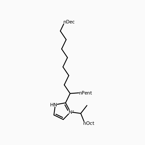 CCCCCCCCCCCCCCCCCC(CCCCC)c1[nH]cc[n+]1C(C)CCCCCCCC